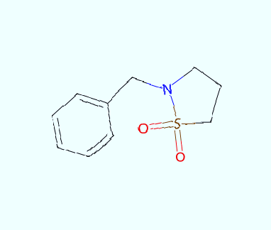 O=S1(=O)CCCN1Cc1ccccc1